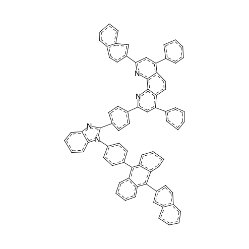 c1ccc(-c2cc(-c3ccc(-c4nc5ccccc5n4-c4ccc(-c5c6ccccc6c(-c6ccc7ccccc7c6)c6ccccc56)cc4)cc3)nc3c2ccc2c(-c4ccccc4)cc(-c4ccc5ccccc5c4)nc23)cc1